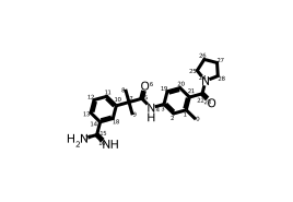 Cc1cc(NC(=O)C(C)(C)c2cccc(C(=N)N)c2)ccc1C(=O)N1CCCC1